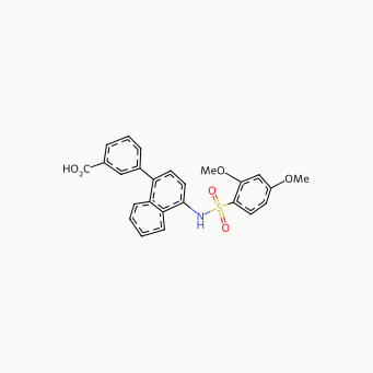 COc1ccc(S(=O)(=O)Nc2ccc(-c3cccc(C(=O)O)c3)c3ccccc23)c(OC)c1